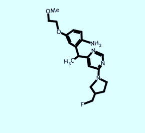 COCCOc1ccc(N)c(C(C)c2cc(N3CCC(CF)C3)ncn2)c1